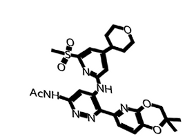 CC(=O)Nc1cc(Nc2cc(C3CCOCC3)cc(S(C)(=O)=O)n2)c(-c2ccc3c(n2)OCC(C)(C)O3)nn1